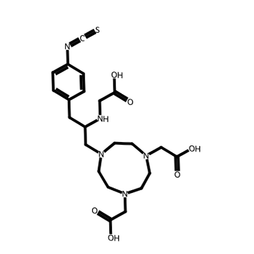 O=C(O)CNC(Cc1ccc(N=C=S)cc1)CN1CCN(CC(=O)O)CCN(CC(=O)O)CC1